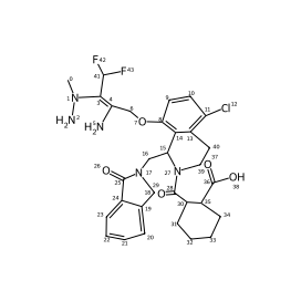 CN(N)/C(=C(\N)COc1ccc(Cl)c2c1C(CN1Cc3ccccc3C1=O)N(C(=O)C1CCCCC1C(=O)O)CC2)C(F)F